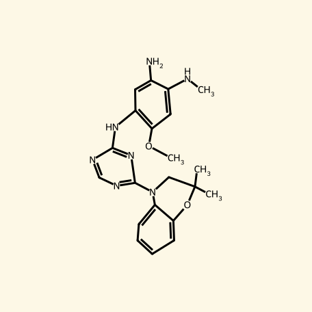 CNc1cc(OC)c(Nc2ncnc(N3CC(C)(C)Oc4ccccc43)n2)cc1N